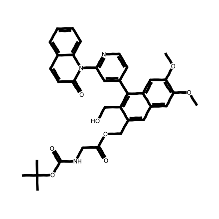 COc1cc2cc(COC(=O)CNC(=O)OC(C)(C)C)c(CO)c(-c3ccnc(-n4c(=O)ccc5ccccc54)c3)c2cc1OC